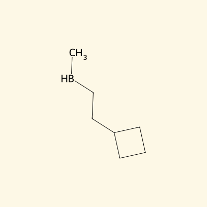 CBCCC1CCC1